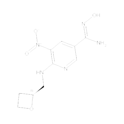 NC(=NO)c1cnc(NC[C@@H]2CCO2)c([N+](=O)[O-])c1